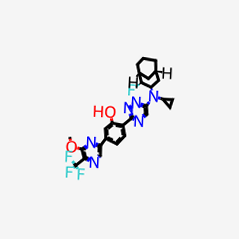 COc1nc(-c2ccc(-c3ncc(N(C4CC4)[C@@H]4C[C@H]5CCC[C@H](C5)[C@@H]4F)nn3)c(O)c2)cnc1C(F)(F)F